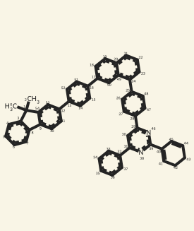 CC1(C)c2ccccc2-c2ccc(-c3ccc(-c4ccc5cccc(-c6ccc(-c7cc(-c8ccccc8)nc(C8=CCCC=C8)n7)cc6)c5c4)cc3)cc21